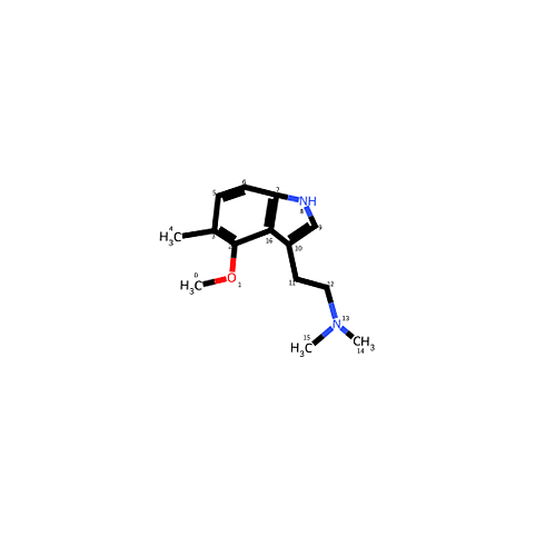 COc1c(C)ccc2[nH]cc(CCN(C)C)c12